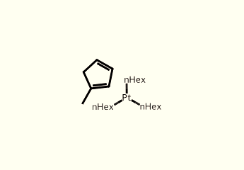 CC1=CC=CC1.CCCCC[CH2][Pt]([CH2]CCCCC)[CH2]CCCCC